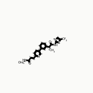 C[C@H](C(=O)Nc1ncc(C(F)(F)F)s1)c1cccc(-c2ccc(C=CC(=O)NC=O)nc2)c1